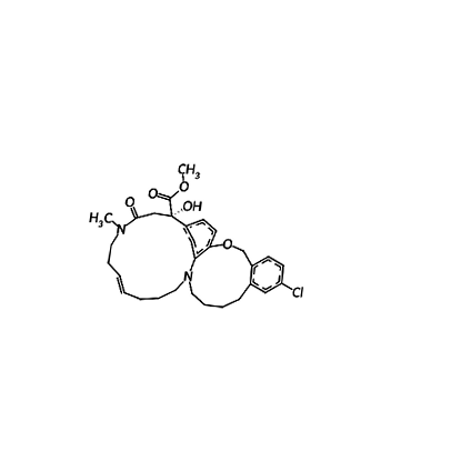 COC(=O)[C@]1(O)CC(=O)N(C)CC/C=C/CCCN2CCCCc3cc(Cl)ccc3COc3ccc1cc32